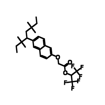 CCC(C)(C)CC(c1ccc2cc(OCC(=O)OC(C(F)(F)F)C(F)(F)F)ccc2c1)C(C)(C)CC